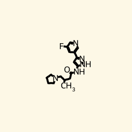 CC(CC(=O)Nc1cc(-c2cncc(F)c2)n[nH]1)CN1CCCC1